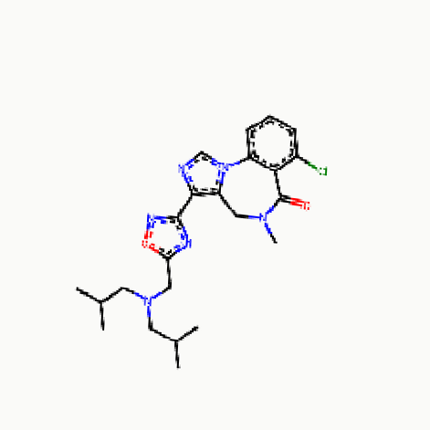 CC(C)CN(Cc1nc(-c2ncn3c2CN(C)C(=O)c2c(Cl)cccc2-3)no1)CC(C)C